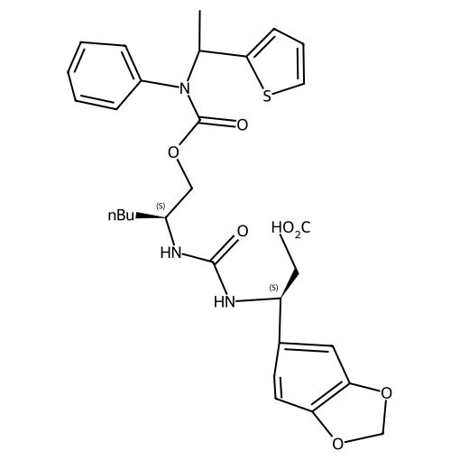 CCCC[C@@H](COC(=O)N(c1ccccc1)C(C)c1cccs1)NC(=O)N[C@@H](CC(=O)O)c1ccc2c(c1)OCO2